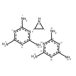 C1CN1.Nc1nc(N)nc(N)n1.Nc1nc(N)nc(N)n1